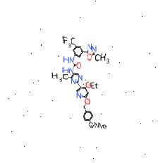 CCOc1cc(OCc2ccc(OC)cc2)ncc1-c1ncc(NC(=O)Nc2cc(-c3nnc(C)o3)cc(C(F)(F)F)c2)c(C)n1